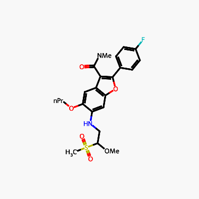 CCCOc1cc2c(C(=O)NC)c(-c3ccc(F)cc3)oc2cc1NCC(OC)S(C)(=O)=O